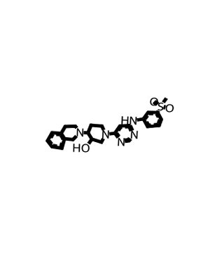 CS(=O)(=O)c1cccc(Nc2cc(N3CCC(N4CCc5ccccc5C4)C(O)C3)ncn2)c1